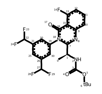 C[C@H](NC(=O)OC(C)(C)C)c1nc2cccc(F)c2c(=O)n1-c1cc(C(F)F)cc(C(F)F)c1